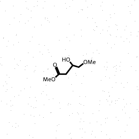 COCC(O)CC(=O)OC